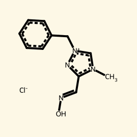 Cn1c[n+](Cc2ccccc2)nc1C=NO.[Cl-]